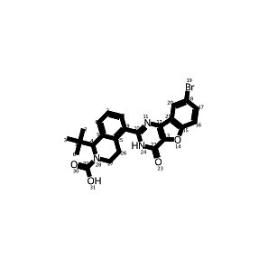 CC(C)(C)C1c2cccc(-c3nc4c(oc5ccc(Br)cc54)c(=O)[nH]3)c2CCN1C(=O)O